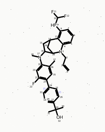 C=CCN1c2cccc(PC(F)F)c2C2CC(N(C)c3cc(F)c(C(/C=C\C(=C)C(C)(C)O)=C/C)cc3C)C1C2